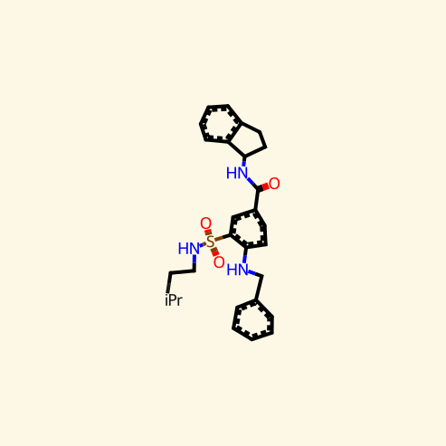 CC(C)CCNS(=O)(=O)c1cc(C(=O)NC2CCc3ccccc32)ccc1NCc1ccccc1